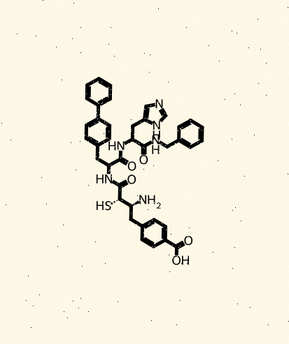 N[C@@H](Cc1ccc(C(=O)O)cc1)[C@H](S)C(=O)NC(Cc1ccc(-c2ccccc2)cc1)C(=O)NC(Cc1cnc[nH]1)C(=O)NCc1ccccc1